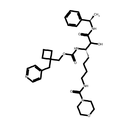 C[C@@H](NC(=O)C(O)[C@H](CCCCNC(=O)N1CCOCC1)NC(=O)OCC1(Cc2ccncc2)CCC1)c1ccccc1